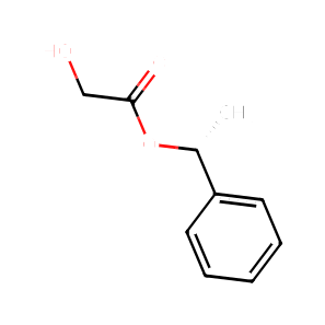 C[C@@H](OC(=O)CO)c1ccccc1